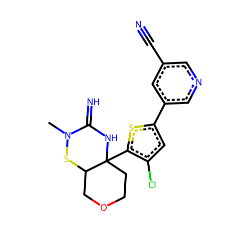 CN1SC2COCCC2(c2sc(-c3cncc(C#N)c3)cc2Cl)NC1=N